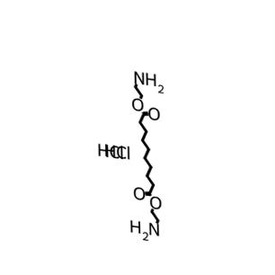 Cl.Cl.NCCOC(=O)CCCCCCCCC(=O)OCCN